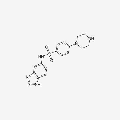 O=S(=O)(Nc1ccc2[nH]nnc2c1)c1ccc(N2CCNCC2)cc1